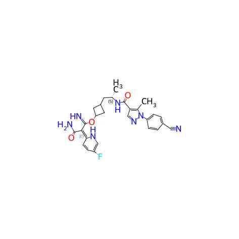 Cc1c(C(=O)N[C@@H](C)CC2CC(OC(=N)/C(C(N)=O)=C3/C=CC(F)=CN3)C2)cnn1-c1ccc(C#N)cc1